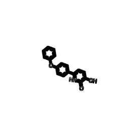 O=c1[nH]c(-c2ccc(Oc3ccccc3)cc2)ccc1O